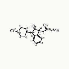 CNC(=O)CC1(C)C(=O)N(C2CCN(Cl)CC2)c2ccccc21